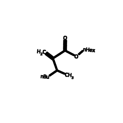 C=C(C(=O)OCCCCCC)C(C)CCCC